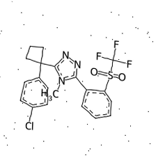 Cn1c(-c2ccccc2S(=O)(=O)C(F)(F)F)nnc1C1(c2ccc(Cl)cc2)CCC1